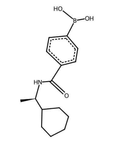 C[C@@H](NC(=O)c1ccc(B(O)O)cc1)C1CCCCC1